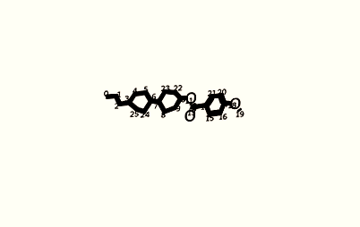 CCCC1CCC(C2CCC(OC(=O)c3ccc(OC)cc3)CC2)CC1